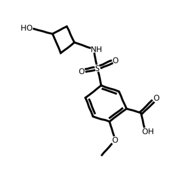 COc1ccc(S(=O)(=O)NC2CC(O)C2)cc1C(=O)O